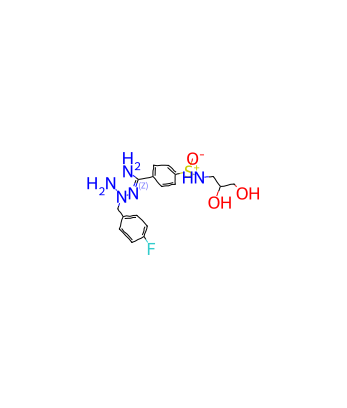 N/C(=N\N(N)Cc1ccc(F)cc1)c1ccc([S+]([O-])NCC(O)CO)cc1